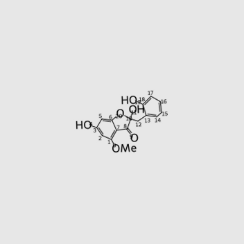 COc1cc(O)cc2c1C(=O)C(O)(Cc1ccccc1O)O2